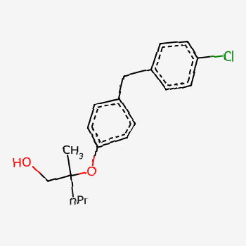 CCCC(C)(CO)Oc1ccc(Cc2ccc(Cl)cc2)cc1